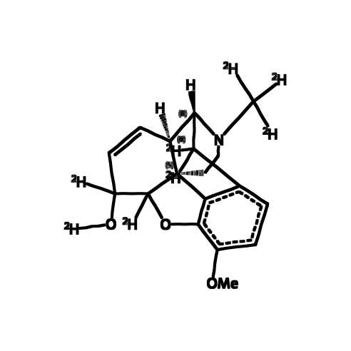 [2H]OC1([2H])C=C[C@H]2[C@@H]3N(C([2H])([2H])[2H])CC[C@@]24c2c(ccc(OC)c2OC14[2H])C3([2H])[2H]